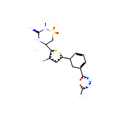 Cc1nnc(C2=CC=CC(c3cc(Cl)c([C@]4(C)CS(=O)(=O)N(C)C(=N)N4)s3)C2)o1